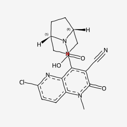 Cn1c(=O)c(C#N)c(N2C[C@H]3CC[C@@H](C2)N3C(=O)O)c2nc(Cl)ccc21